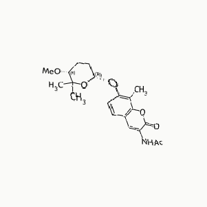 CO[C@@H]1CC[C@H](Oc2ccc3cc(NC(C)=O)c(=O)oc3c2C)OC1(C)C